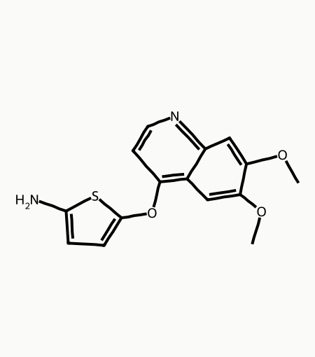 COc1cc2nccc(Oc3ccc(N)s3)c2cc1OC